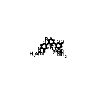 COc1c(-c2ccc(F)c(-c3ccc4nc(N)ncc4c3)c2F)cc(C)cc1S(N)(=O)=O